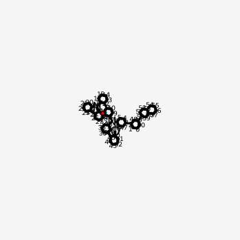 c1cc(-c2ccc(N(c3ccc(-c4ccccc4-n4c5ccccc5c5ccccc54)cc3)c3cccc4c3oc3ccccc34)cc2)cc(-c2ccc3ccccc3c2)c1